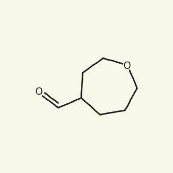 O=CC1CCCOCC1